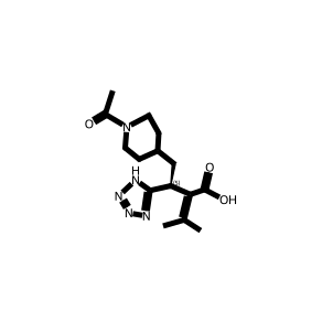 CC(=O)N1CCC(C[C@@H](C(C(=O)O)=C(C)C)c2nnn[nH]2)CC1